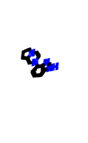 c1cc(N2CCN3CCCC3C2)c2nc[nH]c2c1